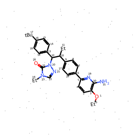 CCOc1ccc(-c2ccc(C(CC)C(c3ccc(C(C)(C)C)cc3)n3ncn(CC)c3=O)cc2)nc1N